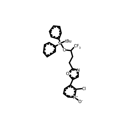 CC(C)(C)[Si](OC(CCc1ncc(-c2ccc[n+]([O-])c2Cl)o1)C(F)(F)F)(c1ccccc1)c1ccccc1